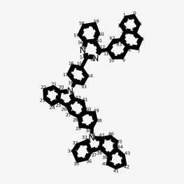 c1ccc2c(c1)ccc1ccc(-c3nc(-c4ccc(-n5c6ccccc6c6cc7cc(-n8c9ccccc9c9c%10ccccc%10ccc98)ccc7cc65)cc4)nc4ccccc34)cc12